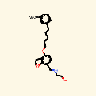 COc1cccc(CCCCCOc2ccc(CNCCO)c3occc23)c1